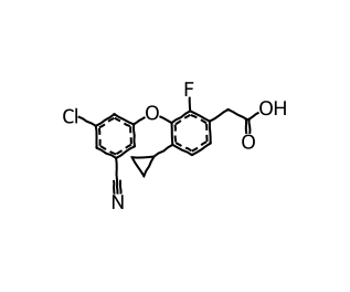 N#Cc1cc(Cl)cc(Oc2c(C3CC3)ccc(CC(=O)O)c2F)c1